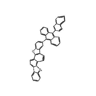 c1ccc2cc(-c3c4ccccc4c(-c4ccc5oc6c(ccc7c6ccc6c8ccccc8sc67)c5c4)c4ccccc34)ccc2c1